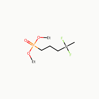 CCOP(=O)(CCC[Si](C)(F)F)OCC